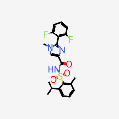 Cc1cccc(C(C)C)c1S(=O)(=O)NC(=O)c1cn(C)c(-c2c(F)cccc2F)n1